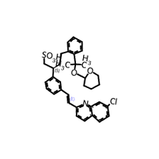 CC(C)(OC1CCCCO1)c1ccccc1CC[C@H](CS(=O)(=O)O)c1cccc(/C=C/c2ccc3ccc(Cl)cc3n2)c1